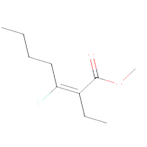 CCCCC(F)=C(CC)C(=O)OC